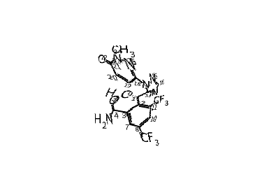 C[C@@H](c1c(C(N)=O)cc(C(F)(F)F)cc1C(F)(F)F)c1ncnn1-c1ccc(=O)n(C)n1